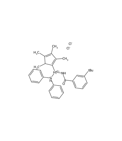 CC1=C(C)C(C)[C]([Hf+2]([NH]C(=O)c2cccc(C(C)(C)C)c2)[SiH](c2ccccc2)c2ccccc2)=C1C.[Cl-].[Cl-]